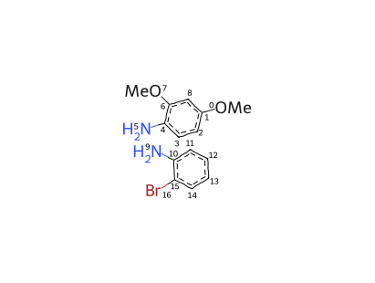 COc1ccc(N)c(OC)c1.Nc1ccccc1Br